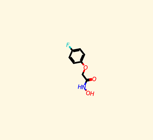 O=C(COc1ccc(F)cc1)NO